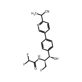 CC(C#N)c1ccc(-c2ccc([C@@H](O)[C@@H](CF)NC(=O)C(F)F)cc2)cn1